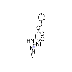 CC(C)=N/N=C1\NC(=O)C(CC(=O)OCc2ccccc2)N1